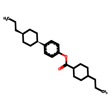 CCCC1CCC(C(=O)Oc2ccc([C@H]3CC[C@H](CCC)CC3)cc2)CC1